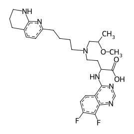 COC(C)CN(CCCCc1ccc2c(n1)NCCC2)CCC(Nc1ncnc2c(F)c(F)ccc12)C(=O)O